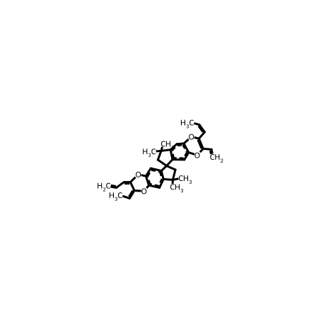 C=C/C=C1/Oc2cc3c(cc2O/C1=C/C)C(C)(C)CC31CC(C)(C)c2cc3c(cc21)OC(C=C)=C(/C=C\C)O3